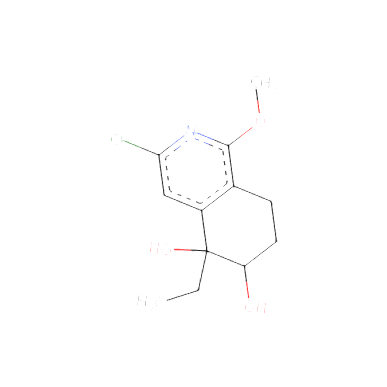 CCC1(O)c2cc(Cl)nc(OC)c2CCC1O